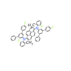 Cc1cccc(F)c1N(c1cc(-c2ccccc2)cc(-c2ccc(F)cc2)c1)c1ccc2ccc3c(N(c4cc(-c5ccccc5)cc(-c5ccc(F)cc5)c4)c4c(C)cccc4F)ccc4ccc1c2c43